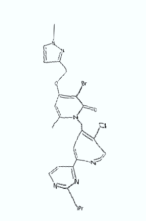 Cc1cc(OCc2ccn(C)n2)c(Br)c(=O)n1-c1cc(-c2ccnc(C(C)C)n2)ncc1Cl